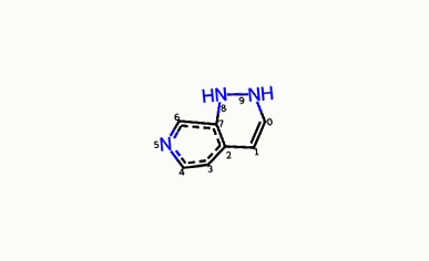 C1=Cc2ccncc2NN1